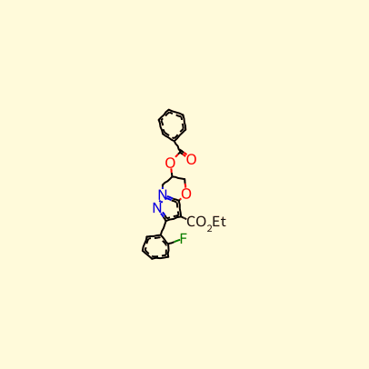 CCOC(=O)c1c(-c2ccccc2F)nn2c1OCC(OC(=O)c1ccccc1)C2